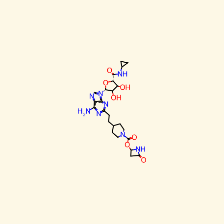 Nc1nc(CCC2CCN(C(=O)OC3CC(=O)N3)CC2)nc2c1ncn2[C@@H]1O[C@H](C(=O)NC2CC2)C(O)C1O